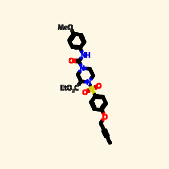 CC#CCOc1ccc(S(=O)(=O)N2CCN(C(=O)Nc3ccc(OC)cc3)CC2C(=O)OCC)cc1